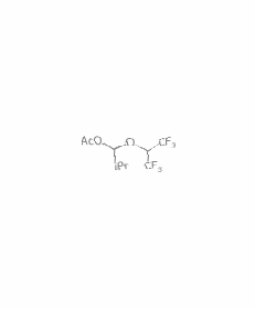 CC(=O)OC(OC(C(F)(F)F)C(F)(F)F)C(C)C